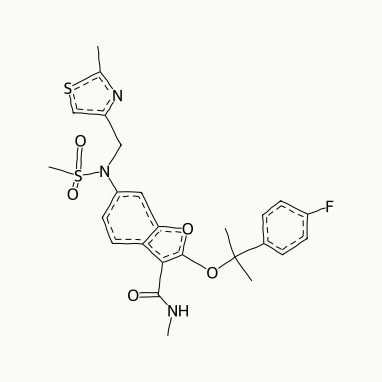 CNC(=O)c1c(OC(C)(C)c2ccc(F)cc2)oc2cc(N(Cc3csc(C)n3)S(C)(=O)=O)ccc12